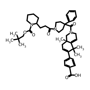 CC(C)(C)COC(=O)N1CCCCC1CCC(=O)N1CCC(C(=O)N2CC=C3C(C)(C)C(c4ccc(C(=O)O)cc4)=CC[C@]3(C)C2)(c2ccccc2)CC1